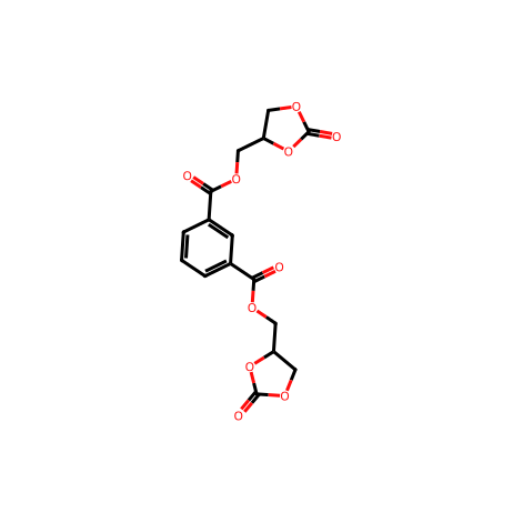 O=C1OCC(COC(=O)c2cccc(C(=O)OCC3COC(=O)O3)c2)O1